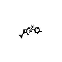 Cc1ccc(S(=O)(=O)CC2CC(C3CC3)C2C)cc1